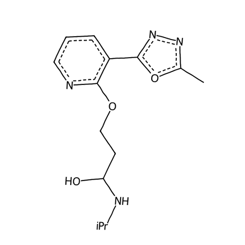 Cc1nnc(-c2cccnc2OCCC(O)NC(C)C)o1